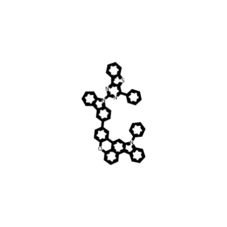 c1ccc(-c2nc(-n3c4ccccc4c4cc(-c5ccc6c(c5)-c5cc7c(c8cccc(c58)O6)c5ccccc5n7-c5ccccc5)ccc43)nc3c2sc2ccccc23)cc1